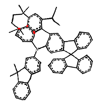 CC(C)c1cc2c(cc1-c1cc3c(cc1N(c1ccccc1)c1ccc4c(c1)C(C)(C)c1ccccc1-4)C1(c4ccccc4-c4ccccc41)c1ccccc1-3)C(C)(C)CCC2(C)C